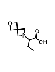 CCC(C(=O)O)N1CC2(COC2)C1